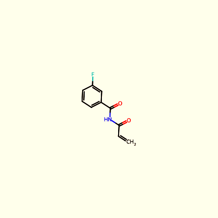 C=CC(=O)NC(=O)c1cccc(F)c1